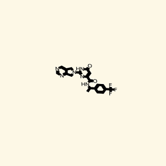 CC(NC(=O)c1cc(=O)[nH]c(N2Cc3cncnc3C2)n1)c1ccc(C(F)(F)F)cc1